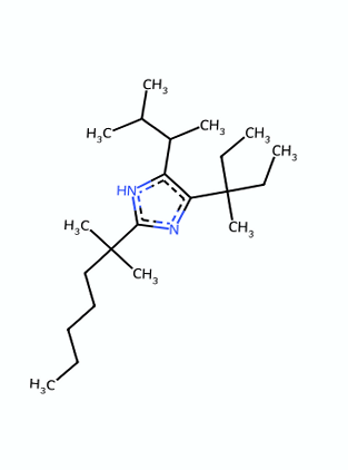 CCCCCC(C)(C)c1nc(C(C)(CC)CC)c(C(C)C(C)C)[nH]1